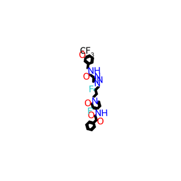 O=C(Nc1ccn(CCC(F)Cn2cc(C(=O)NCc3cccc(OC(F)(F)F)c3)nn2)c(=O)c1F)C(=O)c1ccccc1